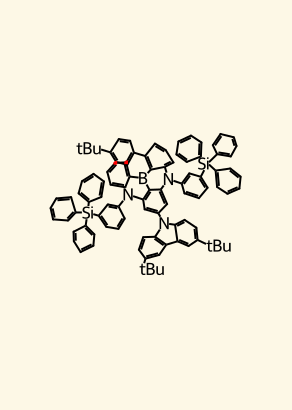 CC(C)(C)c1ccc(-c2cccc3c2B2c4ccccc4N(c4cccc([Si](c5ccccc5)(c5ccccc5)c5ccccc5)c4)c4cc(-n5c6ccc(C(C)(C)C)cc6c6cc(C(C)(C)C)ccc65)cc(c42)N3c2cccc([Si](c3ccccc3)(c3ccccc3)c3ccccc3)c2)cc1